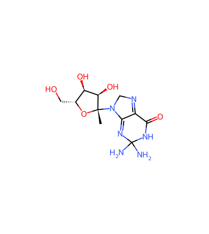 C[C@@]1(N2CN=C3C(=O)NC(N)(N)N=C32)O[C@H](CO)[C@@H](O)[C@H]1O